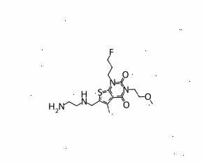 COCCn1c(=O)c2c(C)c(CNCCN)sc2n(CCCF)c1=O